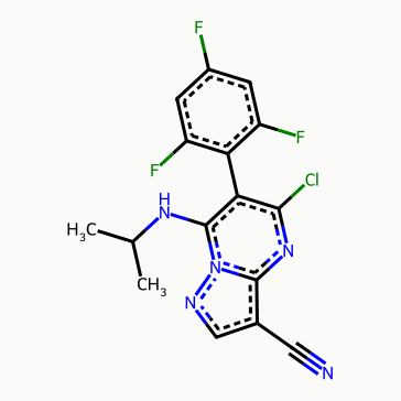 CC(C)Nc1c(-c2c(F)cc(F)cc2F)c(Cl)nc2c(C#N)cnn12